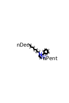 CCCCCCCCCCCCCCCCCn1cc[n+](CCCCC)c1-c1ccccc1